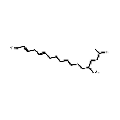 CCCCCC=CCC=CCCCCCCCC(CCC(C)CCCC)NC